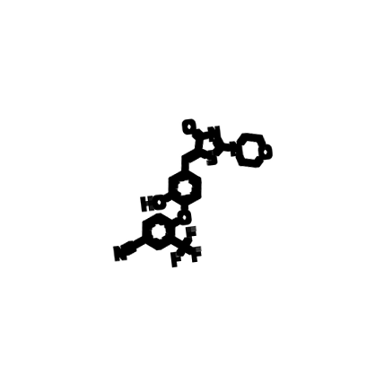 N#Cc1ccc(Oc2ccc(/C=C3\SC(N4CCOCC4)=NC3=O)cc2O)c(C(F)(F)F)c1